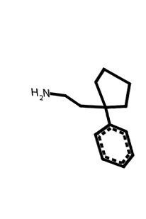 NCCC1(c2ccccc2)CCCC1